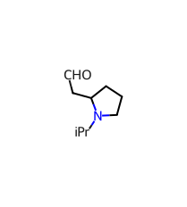 CC(C)N1CCCC1CC=O